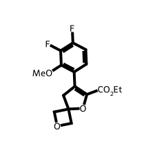 CCOC(=O)C1=C(c2ccc(F)c(F)c2OC)CC2(COC2)O1